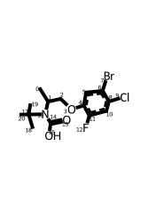 CC(COc1cc(Br)c(Cl)cc1F)N(C(=O)O)C(C)(C)C